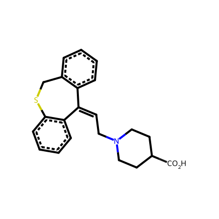 O=C(O)C1CCN(CC=C2c3ccccc3CSc3ccccc32)CC1